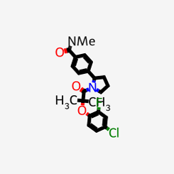 CNC(=O)c1ccc(C2CCCN2C(=O)C(C)(C)Oc2ccc(Cl)cc2F)cc1